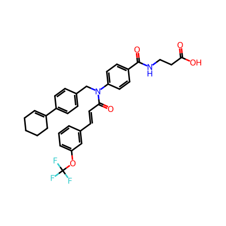 O=C(O)CCNC(=O)c1ccc(N(Cc2ccc(C3=CCCCC3)cc2)C(=O)C=Cc2cccc(OC(F)(F)F)c2)cc1